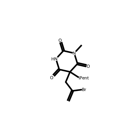 C=C(Br)CC1(C(C)CCC)C(=O)NC(=O)N(C)C1=O